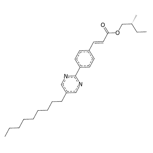 CCCCCCCCCc1cnc(-c2ccc(C=CC(=O)OC[C@H](C)CC)cc2)nc1